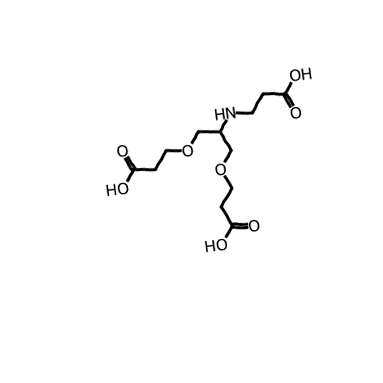 O=C(O)CCNC(COCCC(=O)O)COCCC(=O)O